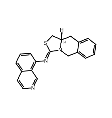 c1ccc2c(c1)C[C@H]1CSC(=Nc3cccc4ccncc34)N1C2